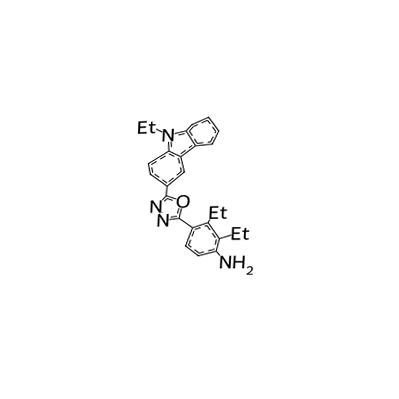 CCc1c(N)ccc(-c2nnc(-c3ccc4c(c3)c3ccccc3n4CC)o2)c1CC